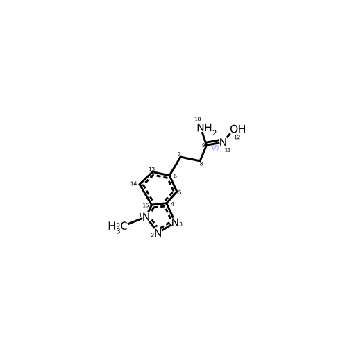 Cn1nnc2cc(CC/C(N)=N/O)ccc21